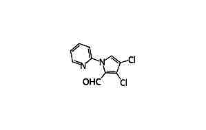 O=Cc1c(Cl)c(Cl)cn1-c1ccccn1